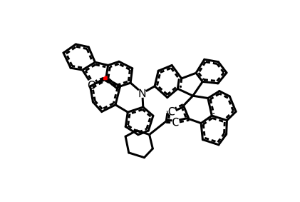 c1ccc(-c2ccccc2N(c2ccc3c(c2)C2(c4ccccc4-3)c3ccc(C4CCCCC4)cc3-c3cccc4cccc2c34)c2ccc3c(c2)oc2ccccc23)cc1